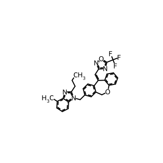 CCCc1nc2c(C)cccc2n1Cc1ccc2c(c1)COc1ccccc1C2=Cc1noc(C(F)(F)F)n1